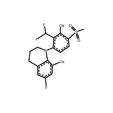 CS(=O)(=O)c1ccc(N2CCCc3cc(F)cc(C#N)c32)c(C(F)F)c1C#N